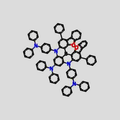 c1ccc(-c2cc3c(c4oc5ccccc5c24)B2c4c(cc(N(c5ccccc5)c5ccccc5)cc4N(c4ccc(N(c5ccccc5)c5ccccc5)cc4)c4cc(-c5ccccc5)c5c(oc6ccccc65)c42)N3c2ccc(N(c3ccccc3)c3ccccc3)cc2)cc1